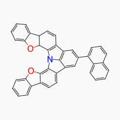 C1=CC2c3ccccc3OC2c2c1c1cc(-c3cccc4ccccc34)cc3c4ccc5c6ccccc6oc5c4n2c13